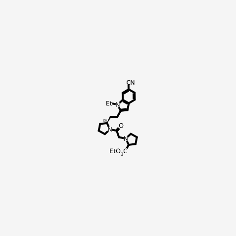 CCOC(=O)C1CCCN1CC(=O)N1CCC[C@H]1CCc1cc2ccc(C#N)cc2n1CC